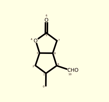 CC1CC2OC(=O)CC2C1C=O